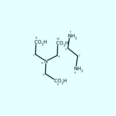 NCCN.O=C(O)CN(CC(=O)O)CC(=O)O